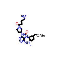 COCc1cccc(-n2c(=O)n(C3CCN(C(=O)/C=C/CN(C)C)C3)c3ncnc(N)c32)c1